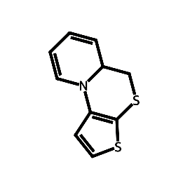 C1=CC2CSc3sccc3N2C=C1